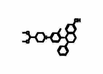 COC(OC)C1CCN(c2ccc([C@H]3c4ccc(O)cc4CC[C@H]3c3ccccc3)c(C)c2)CC1